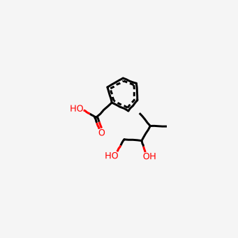 CC(C)C(O)CO.O=C(O)c1ccccc1